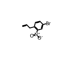 C=CCc1ccc(Br)cc1[N+](=O)[O-]